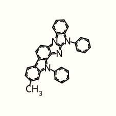 Cc1ccc2c3ccc4c(nc5n(-c6ccccc6)c6ccccc6n45)c3n(-c3ccccc3)c2c1